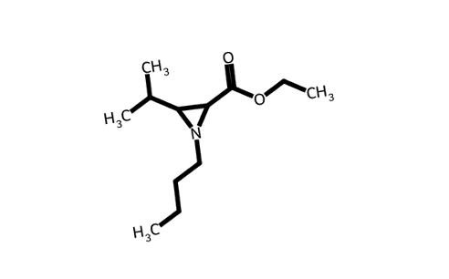 CCCCN1C(C(=O)OCC)C1C(C)C